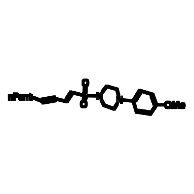 CCCCCC#CC=CS(=O)(=O)N1CCN(c2ccc(OC)cc2)CC1